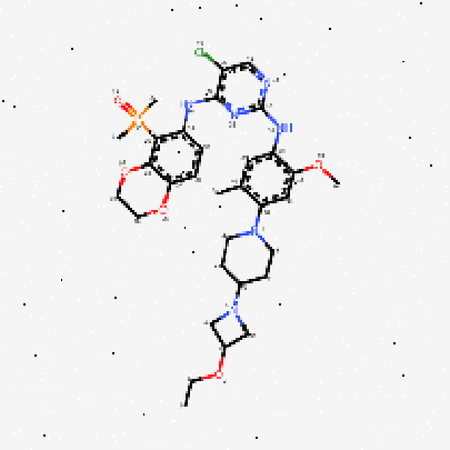 CCOC1CN(C2CCN(c3cc(OC)c(Nc4ncc(Cl)c(Nc5ccc6c(c5P(C)(C)=O)OCCO6)n4)cc3C)CC2)C1